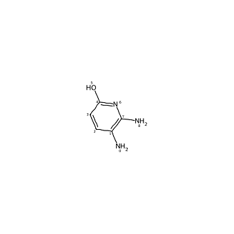 Nc1ccc(O)nc1N